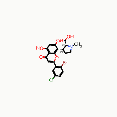 CN1CC[C@H](c2c(O)cc(O)c3c(=O)cc(-c4cc(Cl)ccc4Br)oc23)[C@H]1CO